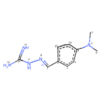 CN(C)c1ccc(/C=N/NC(=N)N)cc1